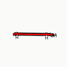 O=C(CCOCCOCCOCCOCCOCCOCCOCCOCCOCCOCCOCCOCCOCCOCCOCCOCCOCCOCCOCCOCCOCCOCCOCCOCCNC(=O)CCSSC1=CC=CCN1)NCCOCCOCCOCCn1cc(CO)[nH]1